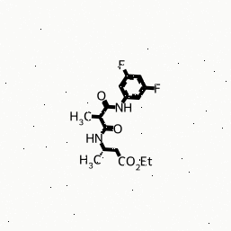 CCOC(=O)C[C@H](C)NC(=O)C(C)C(=O)Nc1cc(F)cc(F)c1